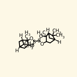 CC1(C)[C@@H]2CC3OB(B4OC5C[C@@H]6C[C@@H](C6(C)C)[C@]5(C)O4)O[C@@]3(C)[C@H]1C2